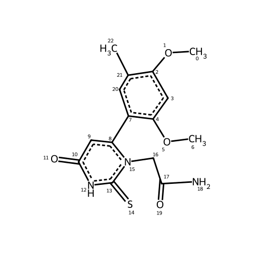 COc1cc(OC)c(-c2cc(=O)[nH]c(=S)n2CC(N)=O)cc1C